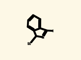 CCC1N=C(I)c2ccccc21